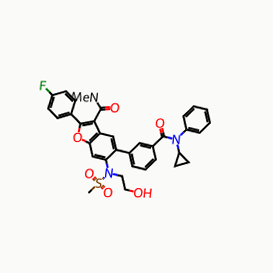 CNC(=O)c1c(-c2ccc(F)cc2)oc2cc(N(CCO)S(C)(=O)=O)c(-c3cccc(C(=O)N(c4ccccc4)C4CC4)c3)cc12